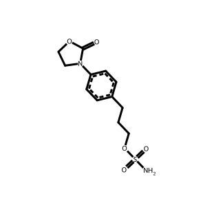 NS(=O)(=O)OCCCc1ccc(N2CCOC2=O)cc1